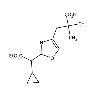 CCOC(=O)C(c1nc(CC(C)(C)C(=O)O)co1)C1CC1